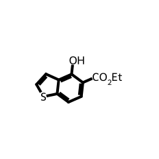 CCOC(=O)c1ccc2sccc2c1O